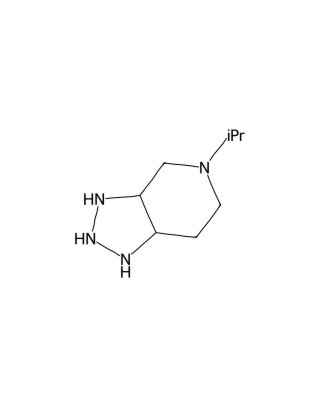 CC(C)N1CCC2NNNC2C1